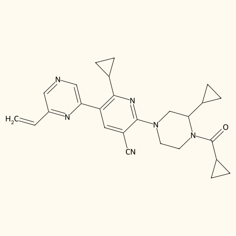 C=Cc1cncc(-c2cc(C#N)c(N3CCN(C(=O)C4CC4)C(C4CC4)C3)nc2C2CC2)n1